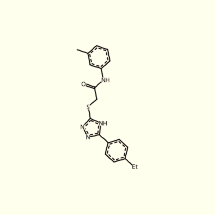 CCc1ccc(-c2nnc(SCC(=O)Nc3cccc(C)c3)[nH]2)cc1